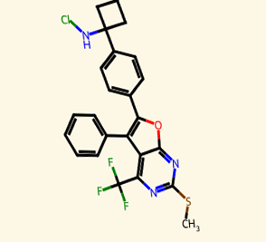 CSc1nc(C(F)(F)F)c2c(-c3ccccc3)c(-c3ccc(C4(NCl)CCC4)cc3)oc2n1